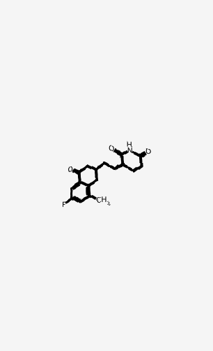 Cc1cc(F)cc2c1CC(CCC1CCC(=O)NC1=O)CC2=O